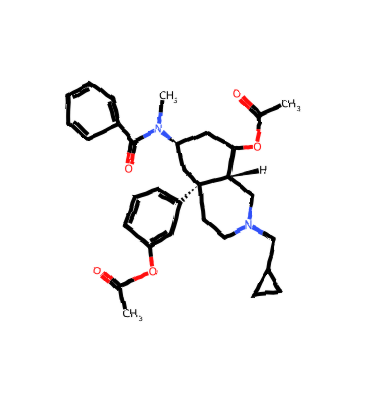 CC(=O)Oc1cccc([C@@]23CCN(CC4CC4)C[C@H]2C(OC(C)=O)C[C@H](N(C)C(=O)c2ccccc2)C3)c1